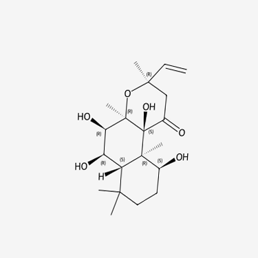 C=C[C@@]1(C)CC(=O)[C@]2(O)[C@@]3(C)[C@@H](O)CCC(C)(C)[C@@H]3[C@@H](O)[C@@H](O)[C@@]2(C)O1